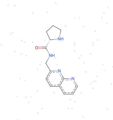 O=C(NCc1ccc2cccnc2n1)[C@@H]1CCCN1